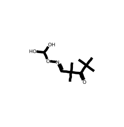 CC(C)(C)C(=O)C(C)(C)C=NOC(O)O